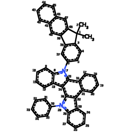 CC1(C)c2ccc(-n3c4ccccc4c4c3c3ccccc3c3c5ccccc5n(-c5ccccc5)c34)cc2-c2cc3ccccc3cc21